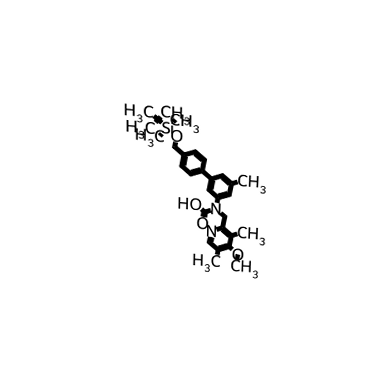 COc1c(C)cnc(CN(C(=O)O)c2cc(C)cc(-c3ccc(CO[Si](C)(C)C(C)(C)C)cc3)c2)c1C